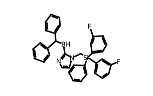 Fc1cccc([Si](Cn2ccnc2BC(c2ccccc2)c2ccccc2)(c2ccccc2)c2cccc(F)c2)c1